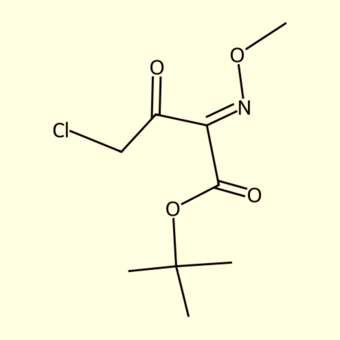 CO/N=C(\C(=O)CCl)C(=O)OC(C)(C)C